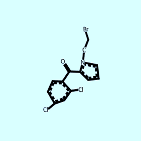 O=C(c1ccc(Cl)cc1Cl)c1cccn1CCBr